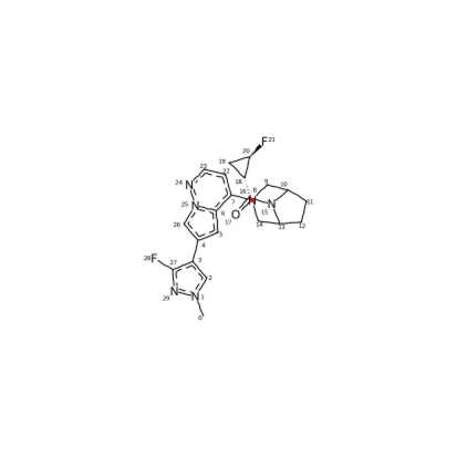 Cn1cc(-c2cc3c(N4CC5CCC(C4)N5C(=O)[C@@H]4C[C@H]4F)ccnn3c2)c(F)n1